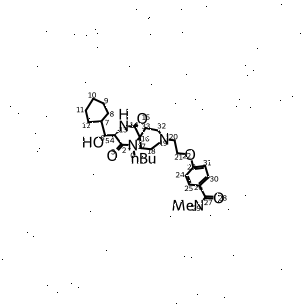 CCCCN1C(=O)[C@@H]([C@H](O)C2CCCCC2)NC(=O)C12CCN(CCOc1ccc(C(=O)NC)cc1)CC2